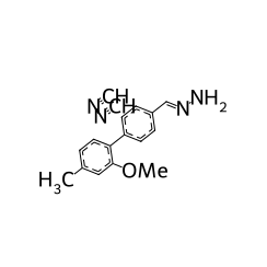 C#N.C#N.COc1cc(C)ccc1-c1ccc(C=NN)cc1